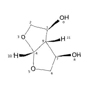 O[C@@H]1CO[C@H]2OC[C@H](O)[C@H]21